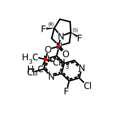 CC(C)(C)OC(=O)N1[C@@]2(F)CC[C@]1(F)CN(c1nc(Cl)nc3c(F)c(Cl)ncc13)C2